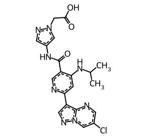 CC(C)Nc1cc(-c2cnn3cc(Cl)cnc23)ncc1C(=O)Nc1cnn(CC(=O)O)c1